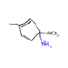 CC1=CCC(N)([N+](=O)[O-])C=C1